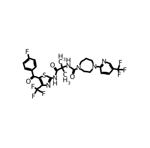 CC(C)(NC(=O)N1CCCN(c2ccc(C(F)(F)F)cn2)CC1)C(=O)Nc1nc(C(F)(F)F)c(C(=O)c2ccc(F)cc2)s1